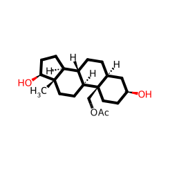 CC(=O)OC[C@]12CC[C@H](O)C[C@@H]1CC[C@H]1[C@@H]3CC[C@H](O)[C@@]3(C)CC[C@@H]12